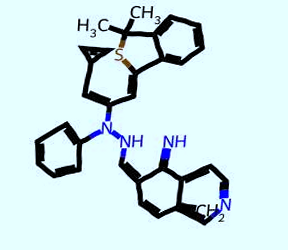 C=C/C=C\C(=C\NN(C(/C=C1\SC(C)(C)c2ccccc21)=C/C1C=C1)c1ccccc1)C(=N)c1ccncc1